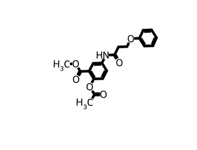 COC(=O)c1cc(NC(=O)CCOc2ccccc2)ccc1OC(C)=O